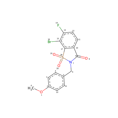 COc1ccc(CN2C(=O)c3ccc(F)c(Br)c3S2(=O)=O)cc1